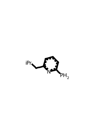 CC(C)Cc1cccc(P)n1